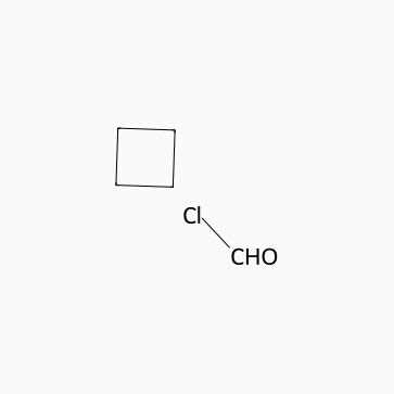 C1CCC1.O=CCl